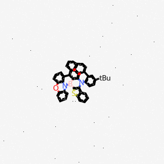 CC(C)(C)c1ccc(N2c3cc4ccccc4c4c3B(c3sc5ccccc5c32)N2c3ccccc3Oc3cccc-4c32)c(-c2ccccc2)c1